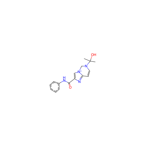 CC(C)(O)N1C=CC2=NC(C(=O)Nc3ccccc3)=C[N+]2C1